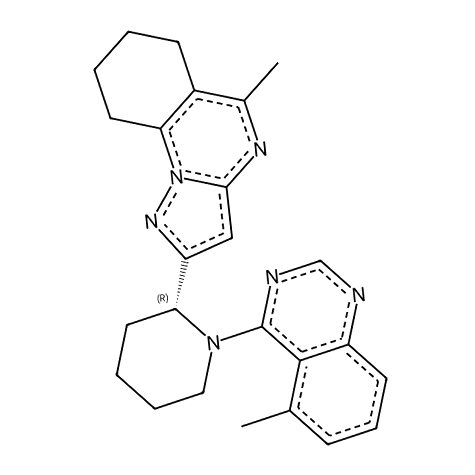 Cc1nc2cc([C@H]3CCCCN3c3ncnc4cccc(C)c34)nn2c2c1CCCC2